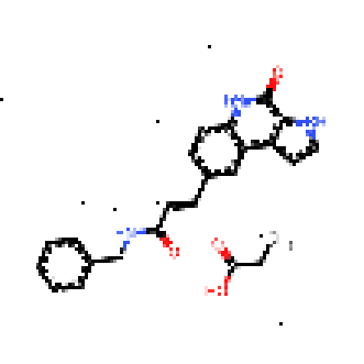 CCC(=O)O.O=C(C=Cc1ccc2[nH]c(=O)c3[nH]ccc3c2c1)NCc1ccccc1